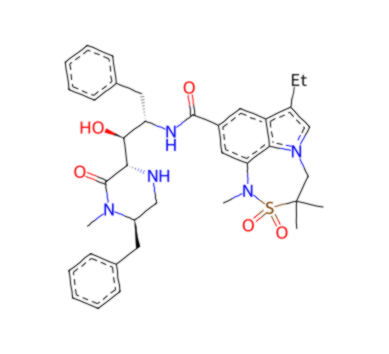 CCc1cn2c3c(cc(C(=O)N[C@@H](Cc4ccccc4)[C@H](O)[C@@H]4NC[C@@H](Cc5ccccc5)N(C)C4=O)cc13)N(C)S(=O)(=O)C(C)(C)C2